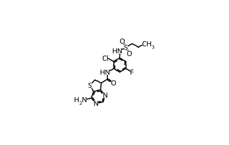 CCCS(=O)(=O)Nc1cc(F)cc(NC(=O)C2CSc3c(N)ncnc32)c1Cl